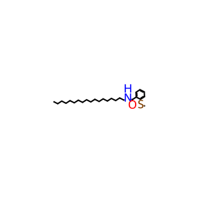 CCCCCCCCCCCCCCCCCCNC(=O)c1ccccc1SC